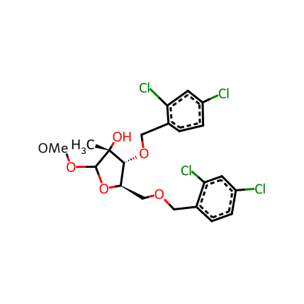 COOC1O[C@H](COCc2ccc(Cl)cc2Cl)[C@@H](OCc2ccc(Cl)cc2Cl)[C@@]1(C)O